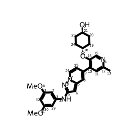 COc1cc(Nc2cc3cc(-c4cc(C)ncc4O[C@H]4CC[C@H](O)CC4)ccn3n2)cc(OC)c1